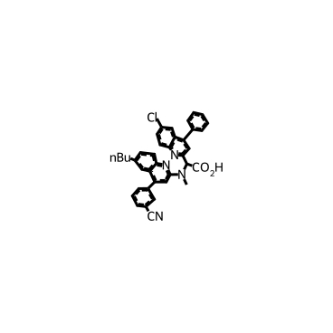 CCCCc1ccc2nc(N(C)C(C(=O)O)c3cc(-c4ccccc4)c4cc(Cl)ccc4n3)cc(-c3cccc(C#N)c3)c2c1